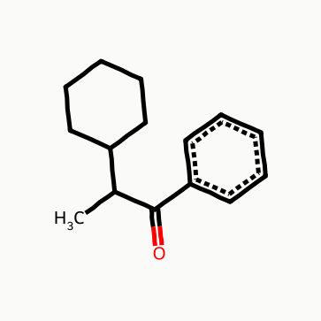 CC(C(=O)c1ccccc1)C1CCCCC1